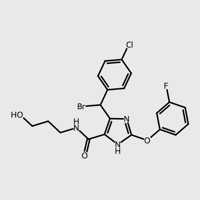 O=C(NCCCO)c1[nH]c(Oc2cccc(F)c2)nc1C(Br)c1ccc(Cl)cc1